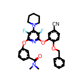 CN(C)C(=O)c1cccc(Oc2nc(Oc3cc(C#N)ccc3OCc3ccccc3)c(F)c(N3CCCCC3)c2F)c1